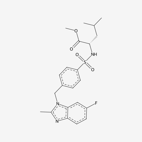 COC(=O)[C@H](CC(C)C)NS(=O)(=O)c1ccc(Cn2c(C)nc3ccc(F)cc32)cc1